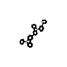 c1ccc(-n2c3ccccc3c3cc(-c4ccc5c(c4)c4ccccc4n5-c4cccc(-c5ccccn5)c4)ccc32)cc1